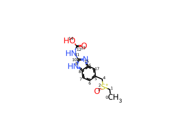 CC[S+]([O-])Cc1ccc2[nH]c(NC(=O)O)nc2c1